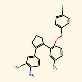 Nc1ccc(C2=C(c3cc(C(F)(F)F)ccc3OCc3ccc(F)cc3)CCC2)cc1C(=O)O